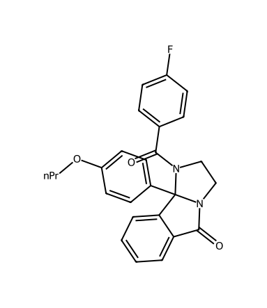 CCCOc1ccc(C23c4ccccc4C(=O)N2CCN3C(=O)c2ccc(F)cc2)cc1